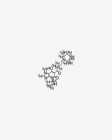 [2H]c1nc2c(c(O)c(C(=O)N([2H])C([2H])([2H])CCN3C([2H])([2H])C([2H])([2H])C([2H])([2H])C([2H])(C)C3([2H])[2H])c(=O)n2C([2H])([2H])C([2H])([2H])[2H])n1[2H]